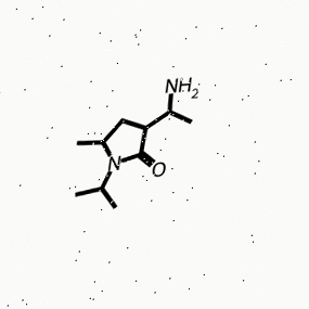 CC(N)C1CC(C)N(C(C)C)C1=O